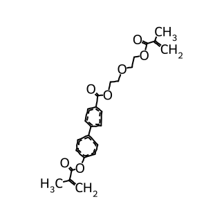 C=C(C)C(=O)OCCOCCOC(=O)c1ccc(-c2ccc(OC(=O)C(=C)C)cc2)cc1